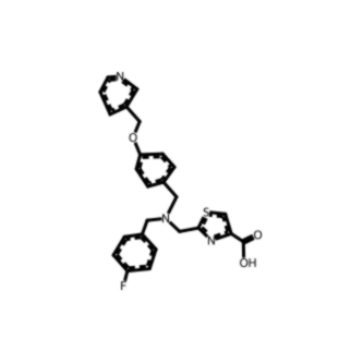 O=C(O)c1csc(CN(Cc2ccc(F)cc2)Cc2ccc(OCc3cccnc3)cc2)n1